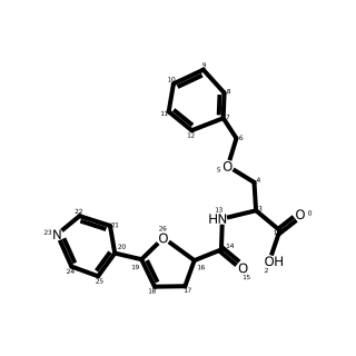 O=C(O)C(COCc1ccccc1)NC(=O)C1CC=C(c2ccncc2)O1